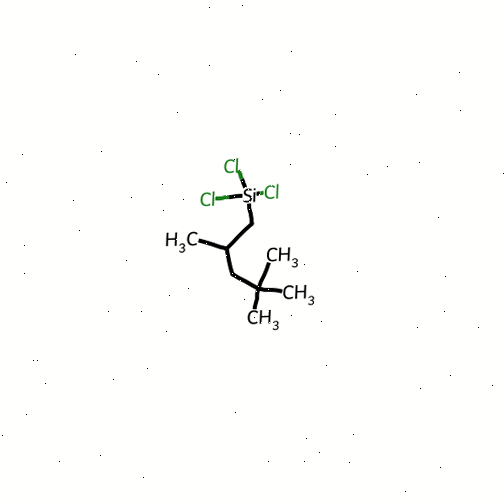 CC(CC(C)(C)C)C[Si](Cl)(Cl)Cl